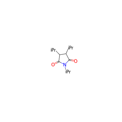 CC(C)C1C(=O)N(C(C)C)C(=O)C1C(C)C